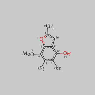 CCc1c(CC)c(OC)c2oc(C)cc2c1O